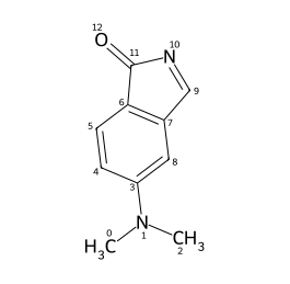 CN(C)c1ccc2c(c1)C=NC2=O